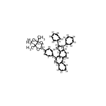 CC1(C)OB(c2ccc(-c3nc4ccccc4c4ccc5c(nc(-c6ccccc6)n5-c5ccccc5)c34)cc2)OC1(C)C